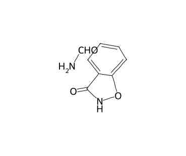 NC=O.O=c1[nH]oc2ccccc12